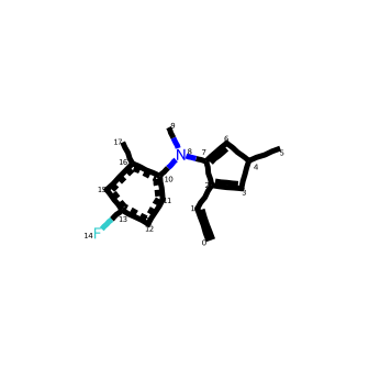 C=CC1=CC(C)C=C1N(C)c1ccc(F)cc1C